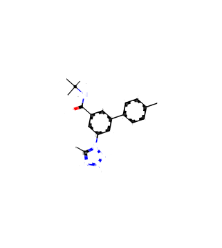 Cc1ccc(-c2cc(C(=O)NC(C)(C)C(F)(F)F)cc(-n3nnnc3C(C)(C)C)c2)cc1